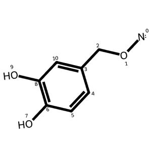 [N]OCc1ccc(O)c(O)c1